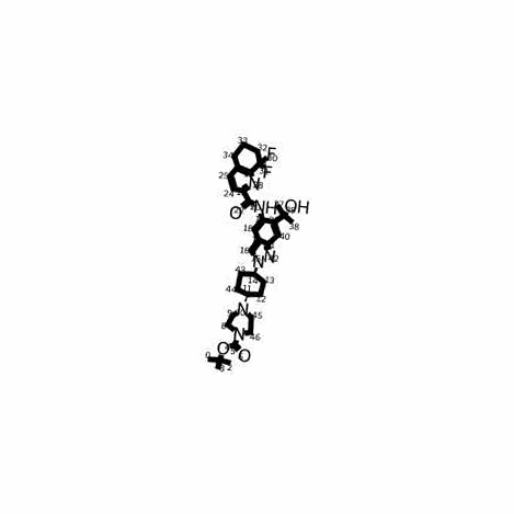 CC(C)(C)OC(=O)N1CCN([C@H]2CC[C@H](n3cc4cc(NC(=O)c5ccc6c(n5)C(F)(F)CCC6)c(C(C)(C)O)cc4n3)CC2)CC1